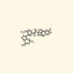 COc1c(C(=O)O)cccc1-c1nc(NC(=O)C(C)(C)c2ccc3c(c2)OC(F)(F)O3)ccc1C